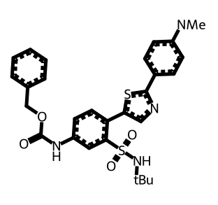 CNc1ccc(-c2ncc(-c3ccc(NC(=O)OCc4ccccc4)cc3S(=O)(=O)NC(C)(C)C)s2)cc1